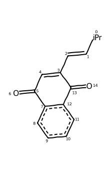 CC(C)C=CC1=CC(=O)c2ccccc2C1=O